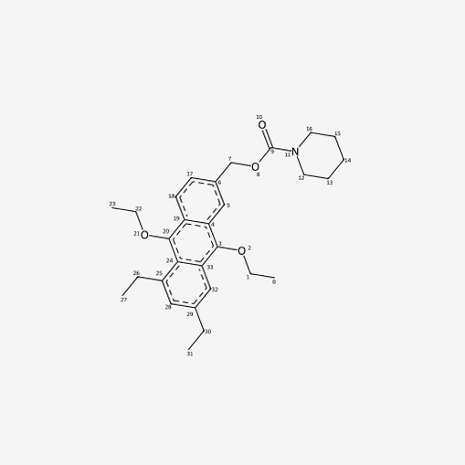 CCOc1c2cc(COC(=O)N3CCCCC3)ccc2c(OCC)c2c(CC)cc(CC)cc12